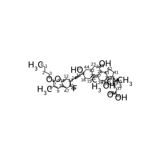 CCCCOC(=O)C(C)=Cc1ccc(C#CC2(O)CCC3(C)C(CC(O)C4C3CC(O)C3(C)C(C(C)CCC(=O)O)CCC43)C2)c(F)c1